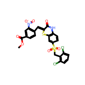 COC(=O)c1ccc(C=C2Sc3cc(S(=O)(=O)Cc4c(Cl)cccc4Cl)ccc3NC2=O)c([N+](=O)[O-])c1